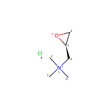 C[N+](C)(C)C[C@@H]1CO1.[Cl-]